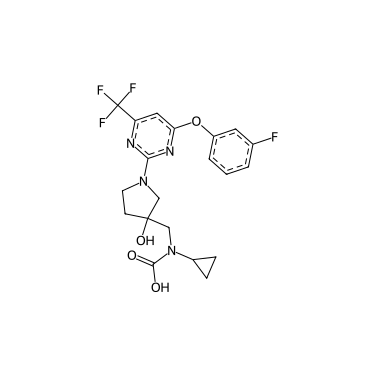 O=C(O)N(CC1(O)CCN(c2nc(Oc3cccc(F)c3)cc(C(F)(F)F)n2)C1)C1CC1